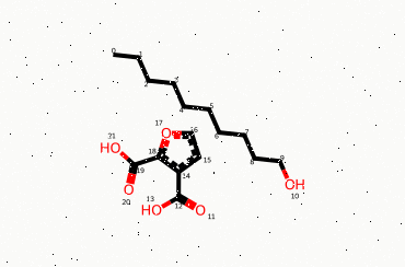 CCCCCCCCCCO.O=C(O)c1ccoc1C(=O)O